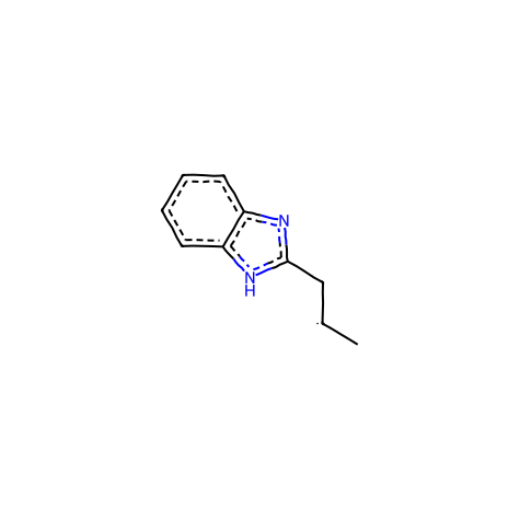 C[CH]Cc1nc2ccccc2[nH]1